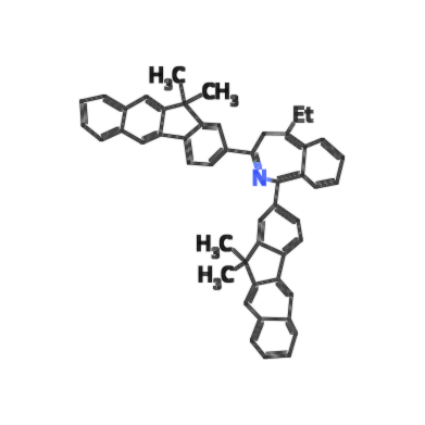 CCC1=c2ccccc2=C(c2ccc3c(c2)C(C)(C)c2cc4ccccc4cc2-3)N=C(c2ccc3c(c2)C(C)(C)c2cc4ccccc4cc2-3)C1